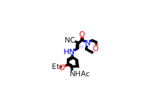 CCOc1cc(N/C=C(\C#N)C(=O)N2CCOCC2)ccc1NC(C)=O